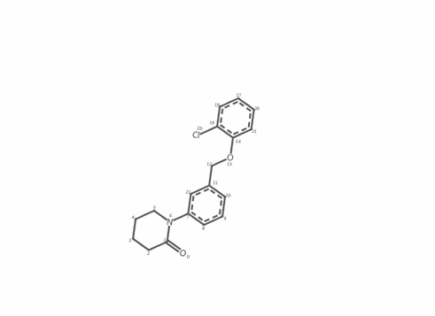 O=C1CCCCN1c1cccc(COc2ccccc2Cl)c1